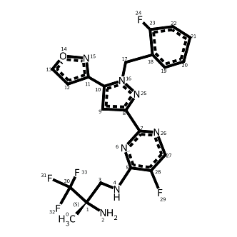 C[C@](N)(CNc1nc(-c2cc(-c3ccon3)n(Cc3ccccc3F)n2)ncc1F)C(F)(F)F